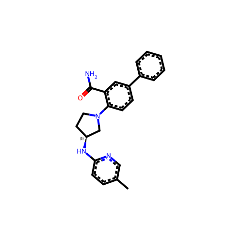 Cc1ccc(N[C@H]2CCN(c3ccc(-c4ccccc4)cc3C(N)=O)C2)nc1